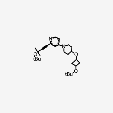 CC(C)(C)OC1CC(OC2CCN(c3ccnc(C#CC(C)(C)OC(C)(C)C)c3)CC2)C1